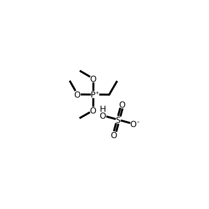 CC[P+](OC)(OC)OC.O=S(=O)([O-])O